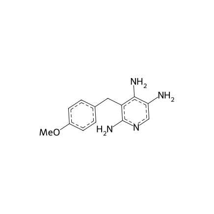 COc1ccc(Cc2c(N)ncc(N)c2N)cc1